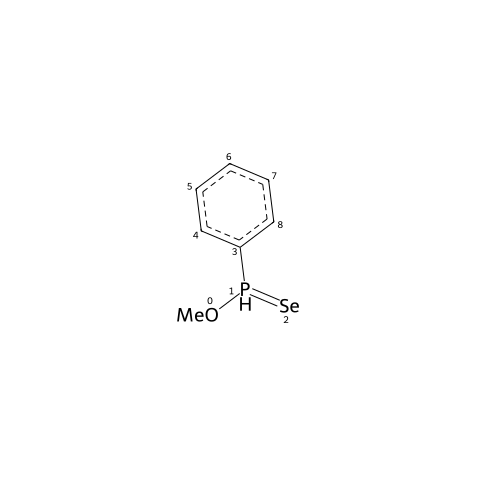 CO[PH](=[Se])c1ccccc1